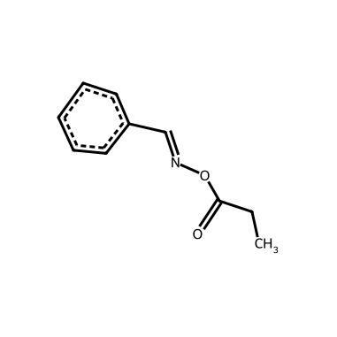 CCC(=O)ON=Cc1ccccc1